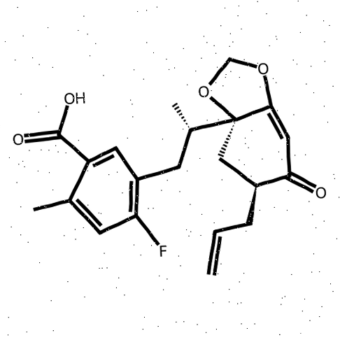 C=CC[C@H]1C[C@]2([C@@H](C)Cc3cc(C(=O)O)c(C)cc3F)OCOC2=CC1=O